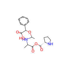 CC(NC(C)C(=O)OC(=O)[C@@H]1CCCN1)OC(C(=O)O)c1ccccc1